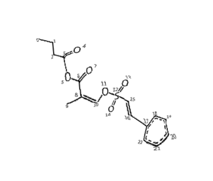 CCCC(=O)OC(=O)C(C)=COS(=O)(=O)C=Cc1ccccc1